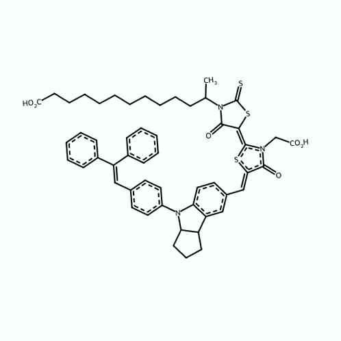 CC(CCCCCCCCCCC(=O)O)N1C(=O)/C(=c2\s/c(=C\c3ccc4c(c3)C3CCCC3N4c3ccc(C=C(c4ccccc4)c4ccccc4)cc3)c(=O)n2CC(=O)O)SC1=S